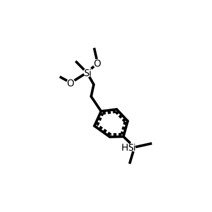 CO[Si](C)(CCc1ccc([SiH](C)C)cc1)OC